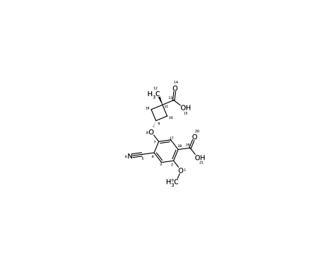 COc1cc(C#N)c(O[C@H]2C[C@@](C)(C(=O)O)C2)cc1C(=O)O